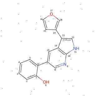 Oc1ccccc1-c1cnc2[nH]cc(-c3ccoc3)c2c1